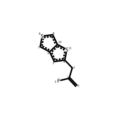 C=C(F)Cc1cc2cscc2s1